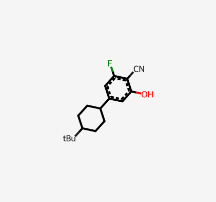 CC(C)(C)C1CCC(c2cc(O)c(C#N)c(F)c2)CC1